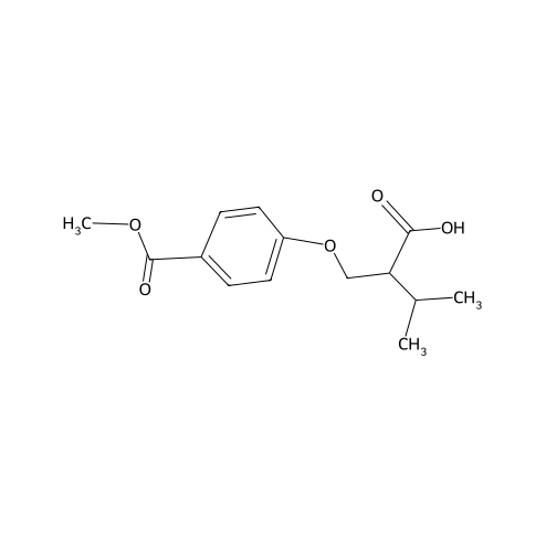 COC(=O)c1ccc(OCC(C(=O)O)C(C)C)cc1